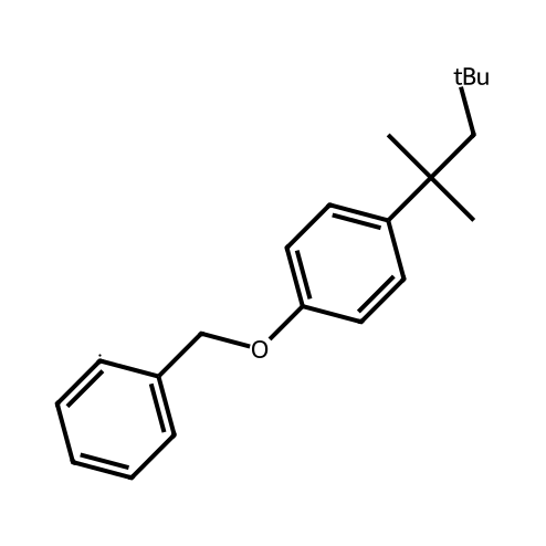 CC(C)(C)CC(C)(C)c1ccc(OCc2[c]cccc2)cc1